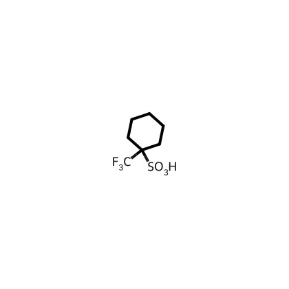 O=S(=O)(O)C1(C(F)(F)F)CCCCC1